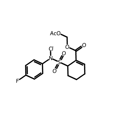 CC(=O)OCOC(=O)C1=CCCCC1S(=O)(=O)N(Cl)c1ccc(F)cc1